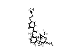 C#CCOc1cnc(C(=O)Nc2cnc(F)c([C@]3(C)N=C(N)S[C@@]4(CF)C[C@H]43)c2)cn1